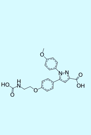 COc1ccc(-n2nc(C(=O)O)cc2-c2ccc(OCCNC(=O)O)cc2)cc1